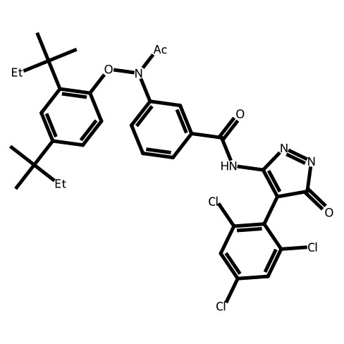 CCC(C)(C)c1ccc(ON(C(C)=O)c2cccc(C(=O)NC3=C(c4c(Cl)cc(Cl)cc4Cl)C(=O)N=N3)c2)c(C(C)(C)CC)c1